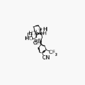 CC[C@]12[C@H]3CC[C@H](C3)[C@H]1CN(c1ccc(C#N)c(C(F)(F)F)c1)S2(O)O